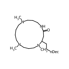 CCCCCCCCCCCCC1CC(=O)NCCCN(C)CCCCN(C)CCCN1C